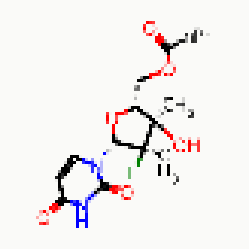 CCCC(=O)OC[C@H]1O[C@@H](n2ccc(=O)[nH]c2=O)[C@](C)(F)[C@]1(C)O